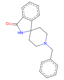 O=C1NC2(CCN(Cc3ccccc3)CC2)c2ccccc21